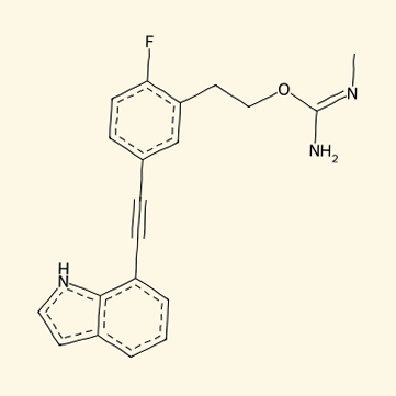 C/N=C(/N)OCCc1cc(C#Cc2cccc3cc[nH]c23)ccc1F